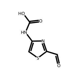 O=Cc1nc(NC(=O)O)cs1